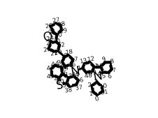 c1ccc(-n2c3ccccc3c3ccc(N(c4ccc(-c5ccc6oc7ccccc7c6c5)cc4)c4cccc5sc6ccccc6c45)cc32)cc1